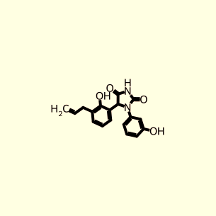 C=CCc1cccc(C2C(=O)NC(=O)N2c2cccc(O)c2)c1O